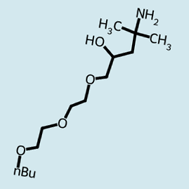 CCCCOCCOCCOCC(O)CC(C)(C)N